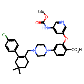 CC1(C)CCC(CN2CCN(c3ccc(C(=O)O)c(Oc4cncc(NC(=O)OC(C)(C)C)c4)c3)CC2)=C(c2ccc(Cl)cc2)C1